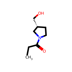 CCC(=O)N1CC[C@@H](CO)C1